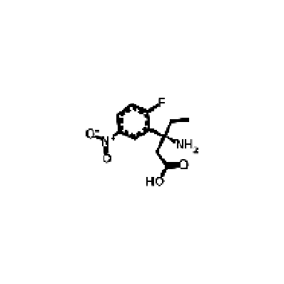 CC[C@](N)(CC(=O)O)c1cc([N+](=O)[O-])ccc1F